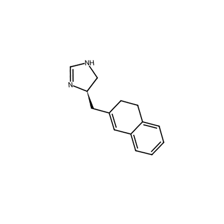 C1=N[C@H](CC2=Cc3ccccc3CC2)CN1